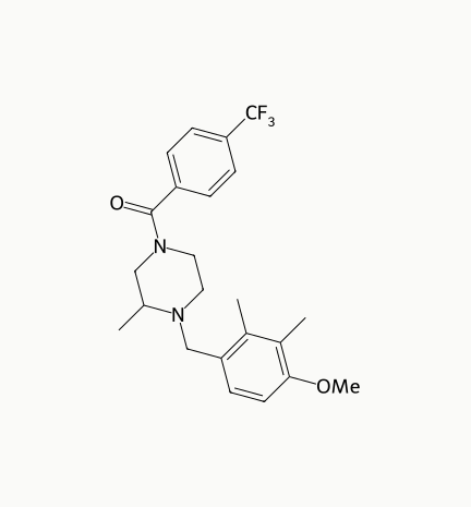 COc1ccc(CN2CCN(C(=O)c3ccc(C(F)(F)F)cc3)CC2C)c(C)c1C